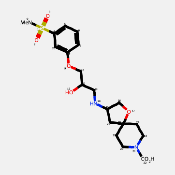 CNS(=O)(=O)c1cccc(OCC(O)CNC2COC3(CCN(C(=O)O)CC3)C2)c1